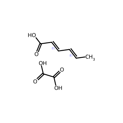 C/C=C/C=C/C(=O)O.O=C(O)C(=O)O